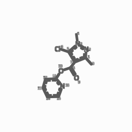 Cc1nn(C)c(Cl)c1C(=O)Oc1ccccn1